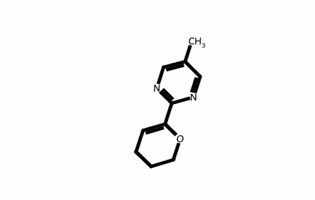 Cc1cnc(C2=CCCCO2)nc1